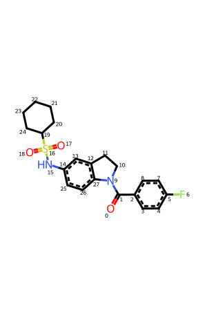 O=C(c1ccc(F)cc1)N1CCc2cc(NS(=O)(=O)C3CCCCC3)ccc21